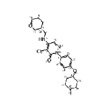 O=c1c(Cl)c(NC[C@@H]2CCCOC2)cnn1-c1ccc(OC2CCNCC2)cc1